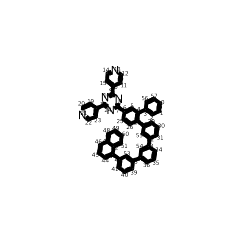 c1ccc(-c2cc(-c3nc(-c4ccncc4)nc(-c4ccncc4)n3)ccc2-c2cccc(-c3cccc(-c4cccc(-c5cccc6ccccc56)c4)c3)c2)cc1